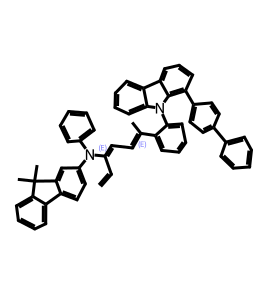 C=C/C(=C\C=C(/C)c1ccccc1-n1c2ccccc2c2cccc(-c3ccc(-c4ccccc4)cc3)c21)N(c1ccccc1)c1ccc2c(c1)C(C)(C)c1ccccc1-2